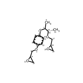 CC(Sc1ccc(OCC2CO2)cc1)[C@H](C)OCC1CO1